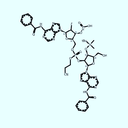 CC(C)(C)[Si](C)(C)O[C@@H]1C(OP(=O)(OCCC#N)OC[C@H]2O[C@@H](n3cnc4c(NC(=O)c5ccccc5)ncnc43)C(F)[C@H]2O[PH](=O)O)[C@H](n2cnc3c(NC(=O)c4ccccc4)ncnc32)O[C@@H]1CO